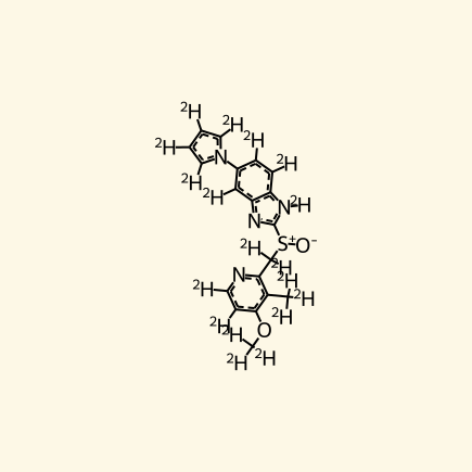 [2H]c1nc(C([2H])([2H])[S+]([O-])c2nc3c([2H])c(-n4c([2H])c([2H])c([2H])c4[2H])c([2H])c([2H])c3n2[2H])c(C([2H])([2H])[2H])c(OC([2H])([2H])[2H])c1[2H]